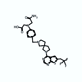 NC(=O)CN(CC(=O)O)c1ccc(CN2CCC3(CCN(c4ncnc5sc(CC(F)(F)F)cc45)C3)C2)cc1